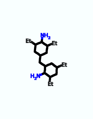 CCC1CC(CC)C(N)C(CC2CC(CC)C(N)C(CC)C2)C1